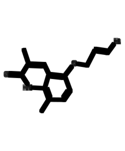 CCC=CCOc1ccc(C)c2[nH]c(=O)c(C)cc12